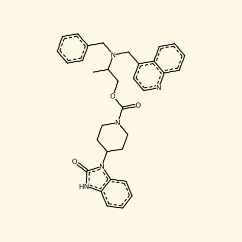 CC(COC(=O)N1CCC(n2c(=O)[nH]c3ccccc32)CC1)N(Cc1ccccc1)Cc1ccnc2ccccc12